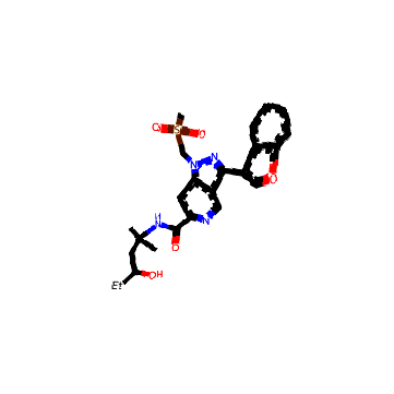 CCC(O)CC(C)(C)NC(=O)c1cc2c(cn1)c(-c1coc3ccccc13)nn2CS(C)(=O)=O